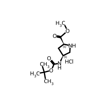 COC(=O)[C@@H]1C[C@H](NC(=O)OC(C)(C)C)CN1.Cl